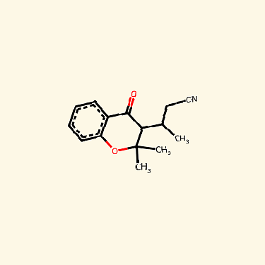 CC(CC#N)C1C(=O)c2ccccc2OC1(C)C